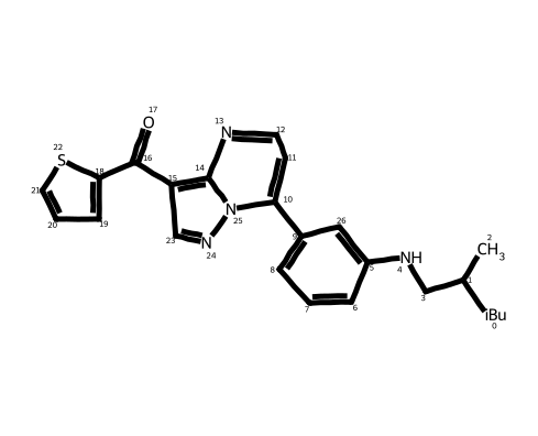 CCC(C)C(C)CNc1cccc(-c2ccnc3c(C(=O)c4cccs4)cnn23)c1